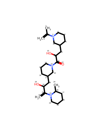 C=C(C)N1CCCC(CC(O)C(=O)N2CCCC(CC(O)C(=C)N3CCCCC3C)C2)C1